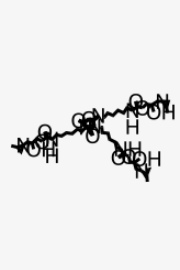 CC1CN1CC(O)COC(=O)NCCCCCC/N=c1/oc(=O)n(CCCCCCNC(=O)OCC(O)CN2CC2C)c(=O)n1CCCCCCNC(=O)OCC(O)CN1CC1C